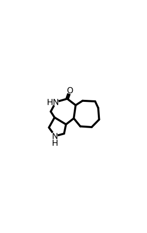 O=C1NCC2CNCC2C2CCCCCCC12